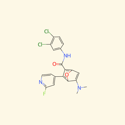 CN(C)c1cc2oc1c(-c1ccnc(F)c1)c2C(=O)Nc1ccc(Cl)c(Cl)c1